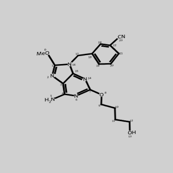 COc1nc2c(N)nc(OCCCCO)nc2n1Cc1cccc(C#N)c1